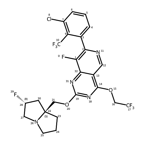 Fc1c(-c2cccc(Cl)c2C(F)(F)F)ncc2c(OCC(F)(F)F)nc(OC[C@@]34CCCN3C[C@H](F)C4)nc12